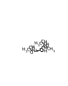 CC(=O)N[C@@H](Cc1cccc(C#CCNC(=O)C(C)C)c1)C(=O)C(C)C